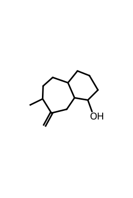 C=C1CC2C(O)CCCC2CCC1C